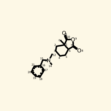 CC12CCCCC1C(=O)OC2=O.CN(C)Cc1ccccc1